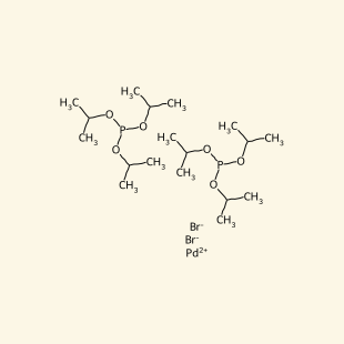 CC(C)OP(OC(C)C)OC(C)C.CC(C)OP(OC(C)C)OC(C)C.[Br-].[Br-].[Pd+2]